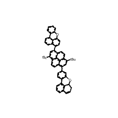 CC(C)(C)c1cc(-c2ccc3c(c2)OC2CC=Cc4cccc-3c42)c2ccc3c(C(C)(C)C)cc(-c4ccc5c6c(cccc46)-c4ccccc4O5)c4ccc1c2c43